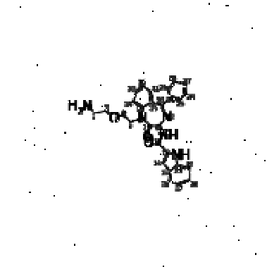 NCCOCCN1C(=O)C(NC(=O)c2cc3ccccc3[nH]2)N=C(c2ccccc2)c2ccccc21